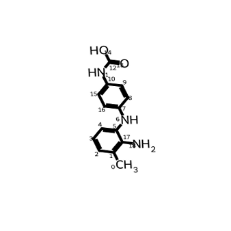 Cc1cccc(Nc2ccc(NC(=O)O)cc2)c1N